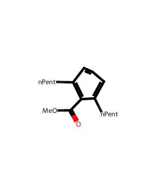 CCCCCc1cccc(CCCCC)c1C(=O)OC